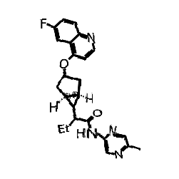 CCC(C(=O)Nc1cnc(C)cn1)C1[C@H]2CC(Oc3ccnc4ccc(F)cc34)C[C@@H]12